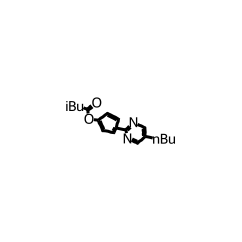 CCCCc1cnc(-c2ccc(OC(=O)C(C)CC)cc2)nc1